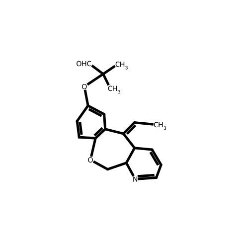 C/C=C1/c2cc(OC(C)(C)C=O)ccc2OCC2N=CC=CC12